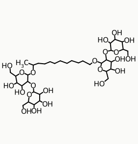 CC(CCCCCCCCCCOC1OC(CO)C(O)C(O)C1OC1OC(CO)C(O)C(O)C1O)OC1OC(CO)C(O)C(O)C1OC1OC(CO)C(O)C(O)C1O